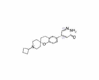 N/N=C\C(=C/C=O)c1ccc2c(c1)CCC1(CCN(C3CCC3)CC1)O2